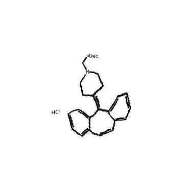 CCCCCCCCCCCN1CCC(=C2c3ccccc3C=Cc3ccccc32)CC1.Cl